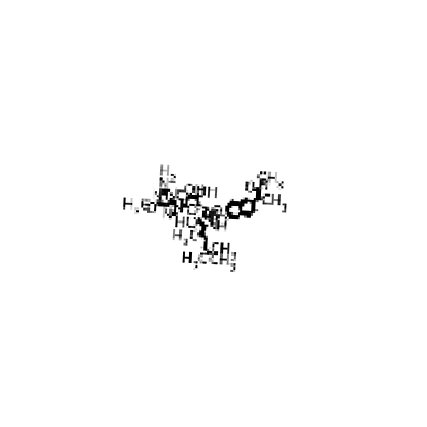 COC(=O)[C@@H](C)c1ccc2cc(OP(=O)(N[C@H](C(=O)O)C(C)CCC(C)(C)C)OC[C@H]3OC(n4cnc5c(OC)nc(N)nc54)[C@](C)(O)[C@@H]3O)ccc2c1